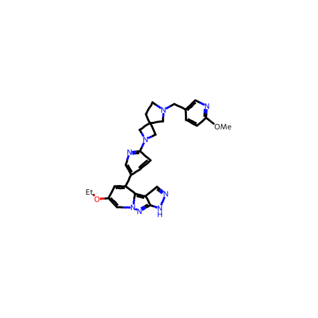 CCOc1cc(-c2ccc(N3CC4(CCN(Cc5ccc(OC)nc5)C4)C3)nc2)c2c3cn[nH]c3nn2c1